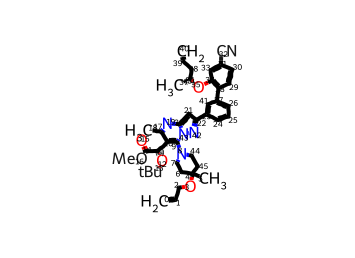 C=CCOC1(C)CCN(c2c([C@H](OC(C)(C)C)C(=O)OC)c(C)nc3cc(-c4cccc(-c5ccc(C#N)cc5O[C@@H](C)CC=C)c4)nn23)CC1